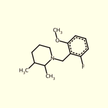 COc1cccc(F)c1CN1CCCC(C)C1C